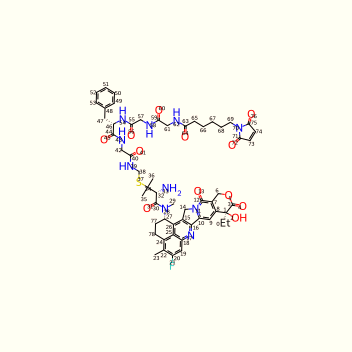 CC[C@@]1(O)C(=O)OCc2c1cc1n(c2=O)Cc2c-1nc1cc(F)c(C)c3c1c2[C@@H](N(C)C(=O)[C@@H](N)C(C)(C)SCNC(=O)CNC(=O)[C@H](Cc1ccccc1)NC(=O)CNC(=O)CNC(=O)CCCCCN1C(=O)C=CC1=O)CC3